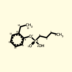 CCCCP(=O)(O)Oc1ccccc1CC